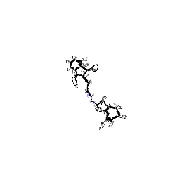 CN1/C(=C\C=C\C=C2C(=O)c3ccccc3C2=O)Oc2ccccc21